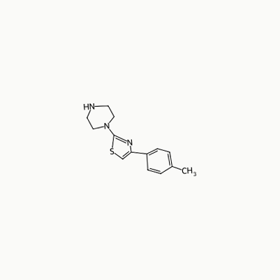 Cc1ccc(-c2csc(N3CCNCC3)n2)cc1